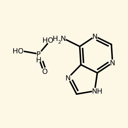 Nc1ncnc2[nH]cnc12.O=[PH](O)O